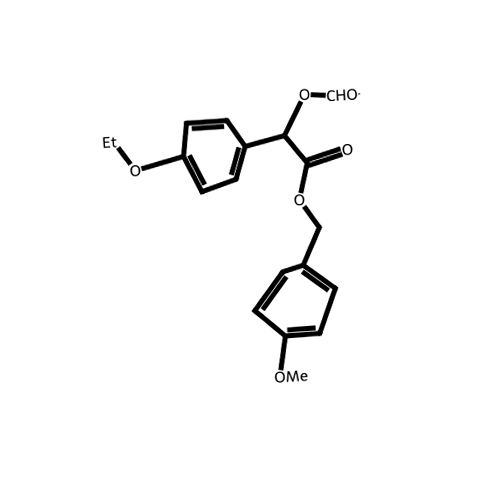 CCOc1ccc(C(O[C]=O)C(=O)OCc2ccc(OC)cc2)cc1